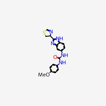 COc1ccc(NC(=O)Nc2ccc3[nH]c(C4CSC=N4)nc3c2)cc1